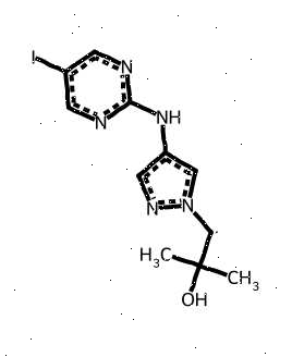 CC(C)(O)[CH]n1cc(Nc2ncc(I)cn2)cn1